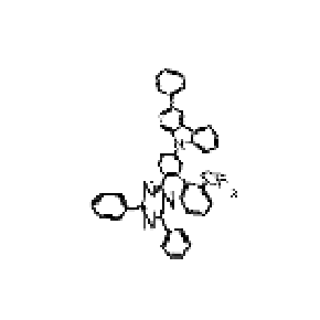 FC(F)(F)c1ccccc1-c1cc(-n2c3ccccc3c3cc(-c4ccccc4)ccc32)ccc1-c1nc(-c2ccccc2)nc(-c2ccccc2)n1